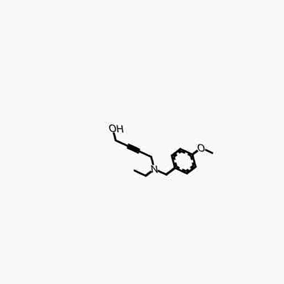 CCN(CC#CCO)Cc1ccc(OC)cc1